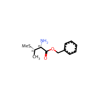 CS[C@@H](C)[C@H](N)C(=O)OCc1ccccc1